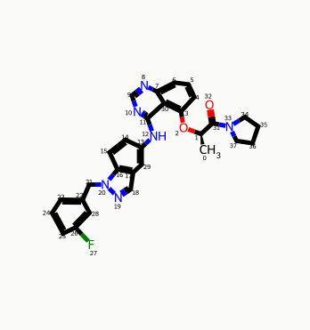 C[C@@H](Oc1cccc2ncnc(Nc3ccc4c(cnn4Cc4cccc(F)c4)c3)c12)C(=O)N1CCCC1